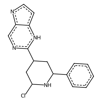 ClC1CC(c2ncc3nccc-3[nH]2)CC(c2ccccc2)N1